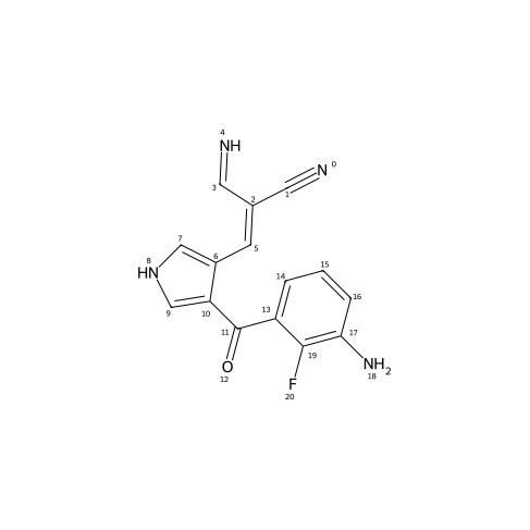 N#C/C(C=N)=C/c1c[nH]cc1C(=O)c1cccc(N)c1F